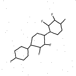 CC1CCC(C2CCC(C3CCC(I)CC3)C(F)C2F)C(F)C1F